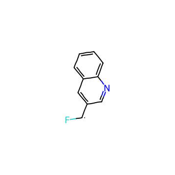 F[CH]c1cnc2ccccc2c1